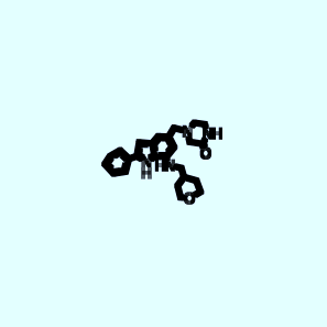 O=C1CN(Cc2cc(NCC3CCOCC3)c3[nH]c(-c4ccccc4)cc3c2)CCN1